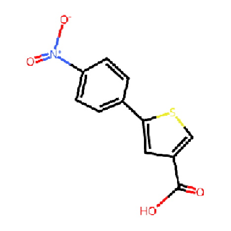 O=C(O)c1csc(-c2ccc([N+](=O)[O-])cc2)c1